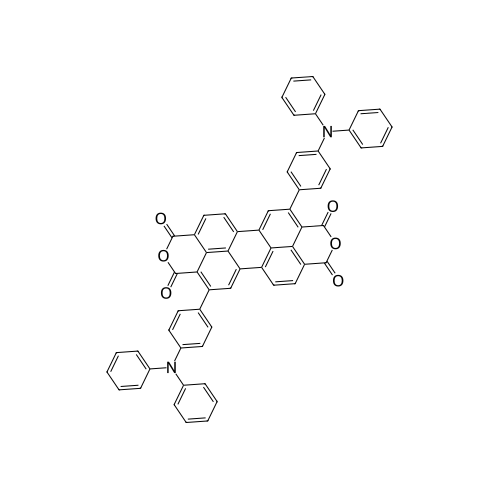 O=C1OC(=O)c2c(-c3ccc(N(c4ccccc4)c4ccccc4)cc3)cc3c4ccc5c6c(c(-c7ccc(N(c8ccccc8)c8ccccc8)cc7)cc(c7ccc1c2c73)c64)C(=O)OC5=O